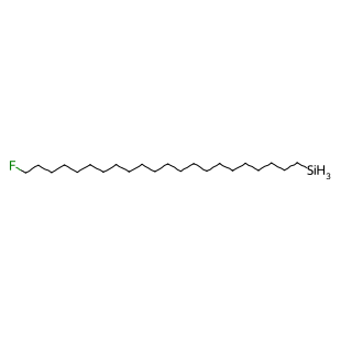 FCCCCCCCCCCCCCCCCCCCCCC[SiH3]